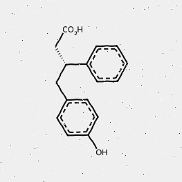 O=C(O)C[C@@H](Cc1ccc(O)cc1)c1ccccc1